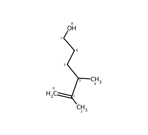 C=C(C)[C](C)CCCO